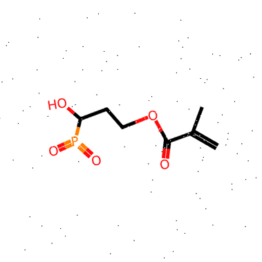 C=C(C)C(=O)OCCC(O)P(=O)=O